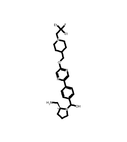 CCC(F)(CC)CN1CCC(COc2cnc(-c3ccc(C(O)N4CCC[C@H]4CN)cc3)cn2)CC1